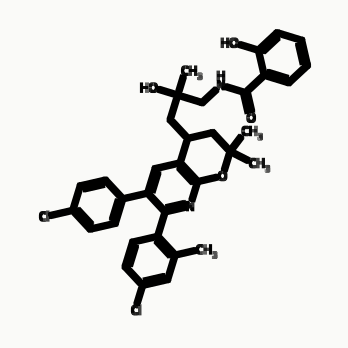 Cc1cc(Cl)ccc1-c1nc2c(cc1-c1ccc(Cl)cc1)C(CC(C)(O)CNC(=O)c1ccccc1O)CC(C)(C)O2